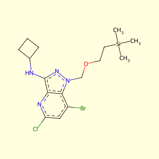 C[Si](C)(C)CCOCn1nc(NC2CCC2)c2nc(Cl)cc(Br)c21